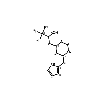 OC(CN1CCOC(Cc2cccs2)C1)C(F)(F)F